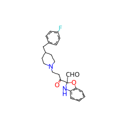 O=CC1(C(=O)CCN2CCC(Cc3ccc(F)cc3)CC2)Nc2ccccc2O1